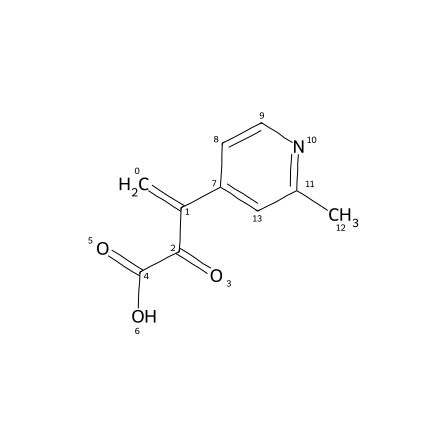 C=C(C(=O)C(=O)O)c1ccnc(C)c1